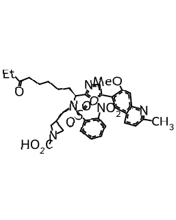 CCC(=O)CCCCC[C@@H](c1ncc(-c2cc3ccc(C)nc3cc2OC)o1)N(CC1CN(C(=O)O)C1)S(=O)(=O)c1ccccc1[N+](=O)[O-]